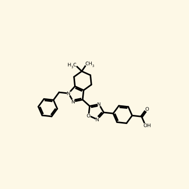 CC1(C)CCc2c(-c3nc(C4=CCC(C(=O)O)C=C4)no3)nn(Cc3ccccc3)c2C1